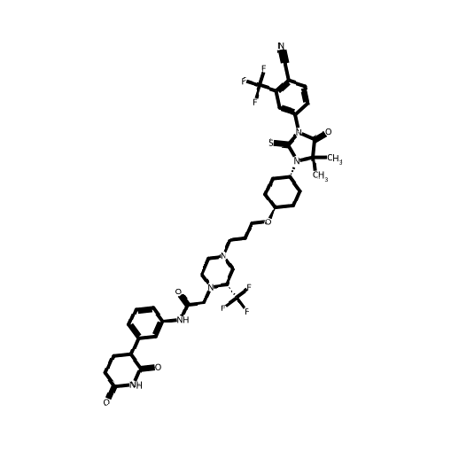 CC1(C)C(=O)N(c2ccc(C#N)c(C(F)(F)F)c2)C(=S)N1[C@H]1CC[C@H](OCCCN2CCN(CC(=O)Nc3cccc(C4CCC(=O)NC4=O)c3)[C@@H](C(F)(F)F)C2)CC1